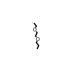 [CH2]COCCOCCC